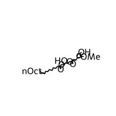 CCCCCCCC/C=C\CCCCCCCC(=O)OC[C@H](O)COC(=O)C=Cc1ccc(O)c(OC)c1